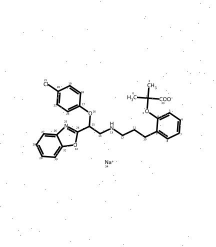 CC(C)(Oc1ccccc1CCCNCC(Oc1ccc(Cl)cc1)c1nc2ccccc2o1)C(=O)[O-].[Na+]